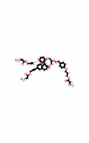 C=CC(=O)OCC#Cc1ccc2c(c1)CC[C@H]1OCC(OOCc3ccc(OCCCOC(=O)C=C)cc3)COc3ccc4c(c3[C@@H]21)CC[C@H](C#CCOC(=O)C=C)C4